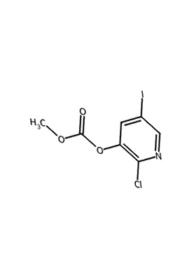 COC(=O)Oc1cc(I)cnc1Cl